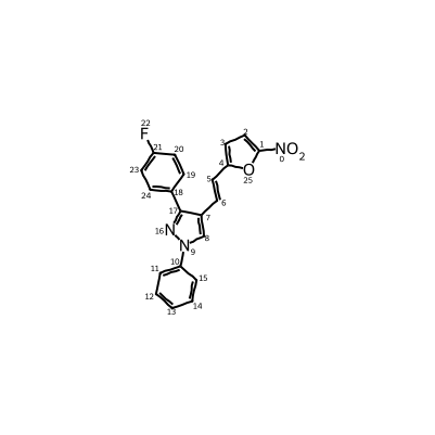 O=[N+]([O-])c1ccc(/C=C/c2cn(-c3ccccc3)nc2-c2ccc(F)cc2)o1